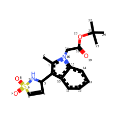 Cc1c(C2C=CS(=O)(=O)N2)c2ccccc2n1CC(=O)OC(C)(C)C